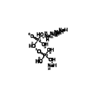 O=P(O)(O)O.O=P(O)(O)O.[NaH].[NaH].[NaH].[NaH].[NaH]